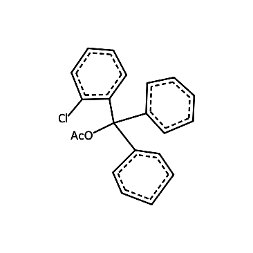 CC(=O)OC(c1ccccc1)(c1ccccc1)c1ccccc1Cl